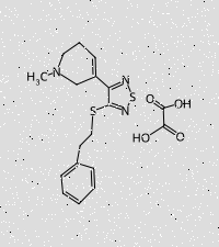 CN1CCC=C(c2nsnc2SCCc2ccccc2)C1.O=C(O)C(=O)O